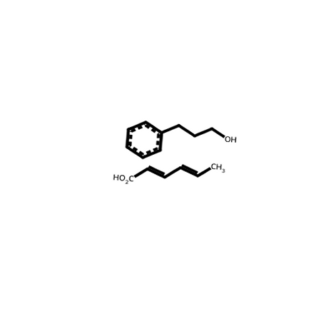 C/C=C/C=C/C(=O)O.OCCCc1ccccc1